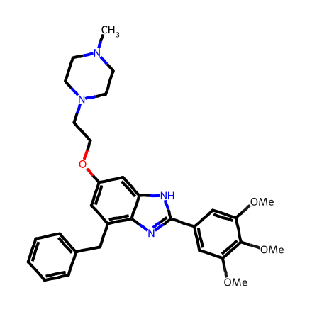 COc1cc(-c2nc3c(Cc4ccccc4)cc(OCCN4CCN(C)CC4)cc3[nH]2)cc(OC)c1OC